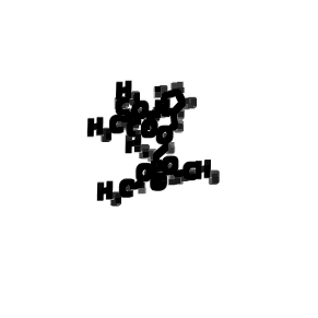 CCOP(=O)(CCOCC1CCCN1C(=O)OC(C)(C)C)OCC